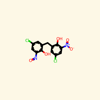 O=Nc1cc(Cl)cc(Cc2cc(Cl)cc([N+](=O)[O-])c2O)c1O